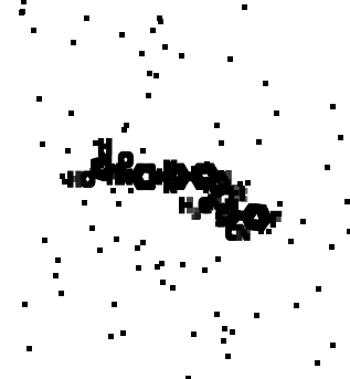 CCc1nc2ccc(-c3cnc(N4CCC(NC(=O)[C@@H]5C[C@H](O)CN5)CC4)nc3)cn2c1N(C)c1nc(-c2ccc(F)cc2)c(C#N)s1